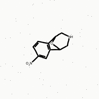 O=[N+]([O-])c1ccc2c(c1)C1CNCC2O1